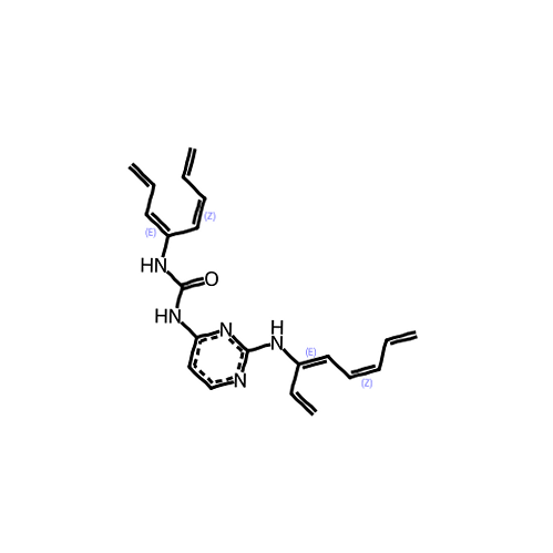 C=C/C=C\C=C(/C=C)Nc1nccc(NC(=O)NC(/C=C\C=C)=C/C=C)n1